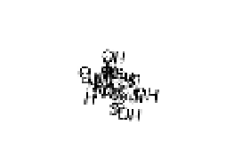 CC(C)(C[C@@H]1[C@H](CC(C)(C)[Si](C)(C)O)[C@@H](CO[Si](C)(C)C(C)(C)C)O[C@H]1n1cnc2c(NC3CCOC3)nc(-n3cc(CO)nn3)nc21)[Si](C)(C)O